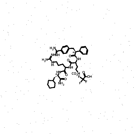 N=C(N)NCCCC(NC(=O)C(CCC(=O)O)NC(=O)[C@@H](Cc1ccc(C(=N)N)cc1)c1ccccc1)C(=O)N[C@@H](CC1CCCCC1)C(N)=O.O=C(O)C(F)(F)F